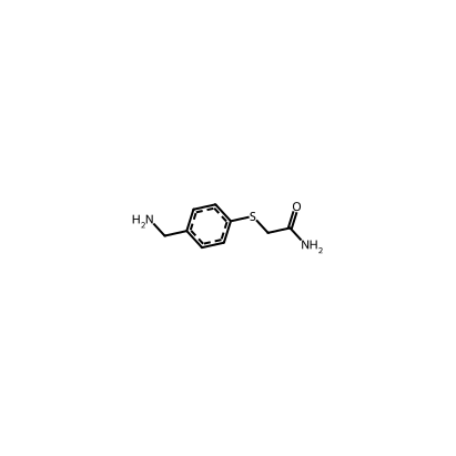 NCc1ccc(SCC(N)=O)cc1